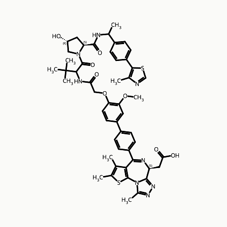 COc1cc(-c2ccc(C3=N[C@@H](CC(=O)O)c4nnc(C)n4-c4sc(C)c(C)c43)cc2)ccc1OCC(=O)NC(C(=O)N1C[C@H](O)C[C@H]1C(=O)NC(C)c1ccc(-c2scnc2C)cc1)C(C)(C)C